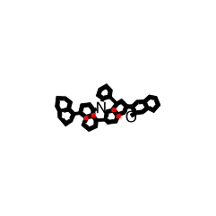 c1ccc(-c2ccccc2N(c2ccc(-c3cccc4ccccc34)cc2)c2ccccc2-c2ccc3oc4cc5ccccc5cc4c3c2)cc1